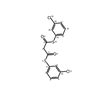 O=C(CC(=O)Sc1cccc(Cl)c1)Sc1cccc(Cl)c1